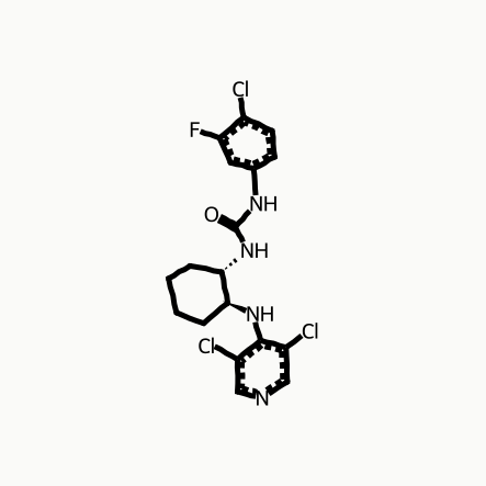 O=C(Nc1ccc(Cl)c(F)c1)N[C@H]1CCCC[C@@H]1Nc1c(Cl)cncc1Cl